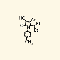 CCC(CC)C1C(C(C)=O)=C(O)C(=O)N1c1ccc(C)cc1